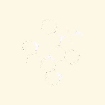 Cc1cccnc1-c1cc2cccnc2c(-c2ccccc2C(=O)N(c2ccccc2)S(N)(=O)=O)n1